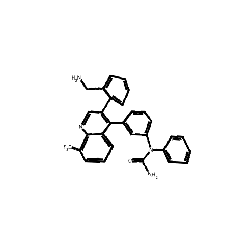 NCc1ccccc1-c1cnc2c(C(F)(F)F)cccc2c1-c1cccc(N(C(N)=O)c2ccccc2)c1